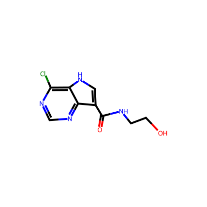 O=C(NCCO)c1c[nH]c2c(Cl)ncnc12